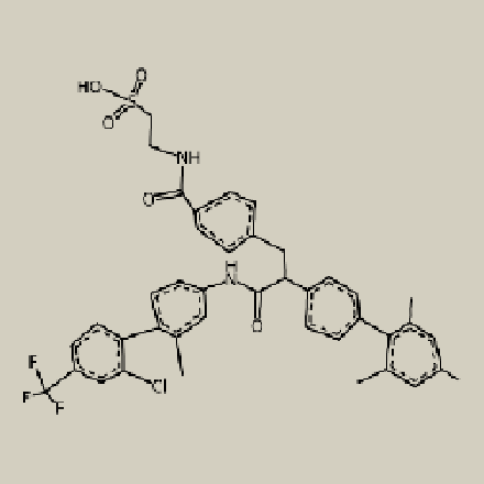 Cc1cc(C)c(-c2ccc(C(Cc3ccc(C(=O)NCCS(=O)(=O)O)cc3)C(=O)Nc3ccc(-c4ccc(C(F)(F)F)cc4Cl)c(C)c3)cc2)c(C)c1